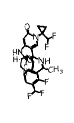 CC(NC(=O)c1cn(C2(C(F)F)CC2)c(=O)cc1N[C@@H]1CN2CCC1CC2)c1cccc(C(F)F)c1F